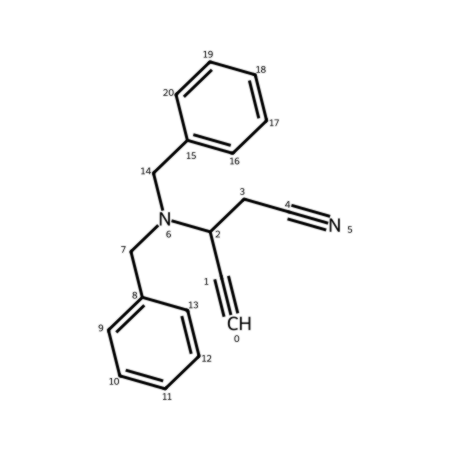 C#CC(CC#N)N(Cc1ccccc1)Cc1ccccc1